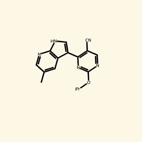 Cc1cnc2[nH]cc(-c3nc(OC(C)C)ncc3C#N)c2c1